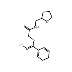 C=C(CS/C(=N\CC)C1=CCCC=C1)NCC1CCCO1